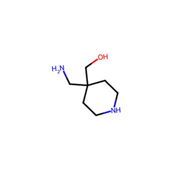 NCC1(CO)CCNCC1